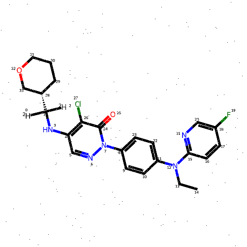 [2H]C([2H])(Nc1cnn(-c2ccc(N(CC)c3ccc(F)cn3)cc2)c(=O)c1Cl)[C@H]1CCCOC1